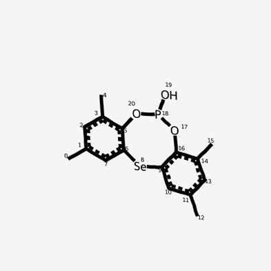 Cc1cc(C)c2c(c1)[Se]c1cc(C)cc(C)c1OP(O)O2